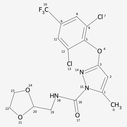 Cc1cc(Oc2c(Cl)cc(C(F)(F)F)cc2Cl)nn1C(=O)NCC1OCCO1